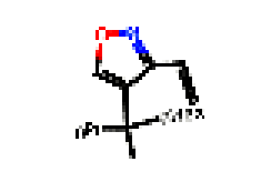 C=Cc1nocc1C(C)(CCC)CCCCCC